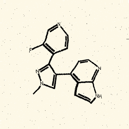 Cn1cc(-c2ccnc3[nH]ccc23)c(-c2ccncc2F)n1